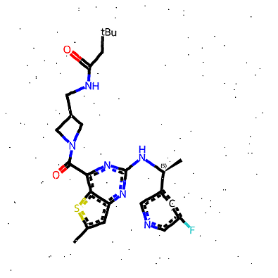 Cc1cc2nc(N[C@@H](C)c3cncc(F)c3)nc(C(=O)N3CC(CNC(=O)CC(C)(C)C)C3)c2s1